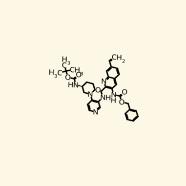 C=Cc1ccc2cc(NC(=O)OCc3ccccc3)c(C(=O)Nc3cnccc3N3CCC[C@H](NC(=O)OC(C)(C)C)C3)nc2c1